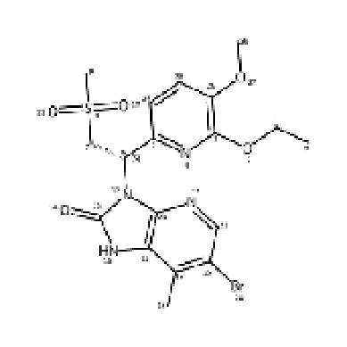 CCOc1nc([C@@H](CS(C)(=O)=O)n2c(=O)[nH]c3c(C)c(Br)cnc32)ccc1OC